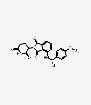 C[C@H](Nc1cccc2c1C(=O)N(C1CCC(=O)NC1=O)C2=O)c1ccc(OC(F)(F)F)cc1